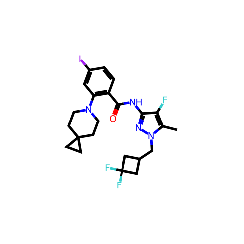 Cc1c(F)c(NC(=O)c2ccc(I)cc2N2CCC3(CC2)CC3)nn1CC1CC(F)(F)C1